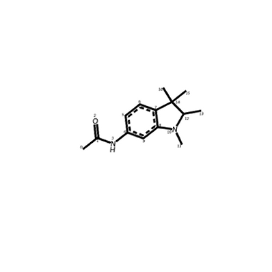 CC(=O)Nc1ccc2c(c1)N(C)C(C)C2(C)C